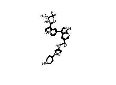 C[C@@H](NC(=O)c1cnn2ccc(-c3c[nH]c4ncc(C(=O)Nc5cnn(C6CCNCC6)c5)cc34)cc12)C(F)(F)F